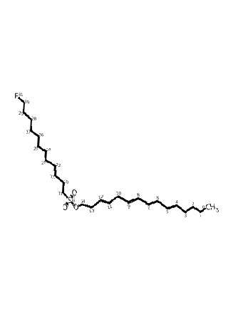 CCCCCCCCCCCCCCCOS(=O)(=O)CCCCCCCCCCCCF